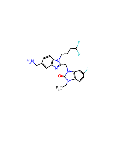 NCc1ccc2c(c1)nc(Cn1c(=O)n(CC(F)(F)F)c3ccc(F)cc31)n2CCCC(F)F